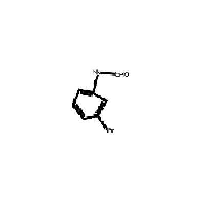 CC(C)c1cccc(NC=O)c1